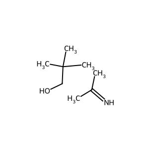 CC(C)(C)CO.CC(C)=N